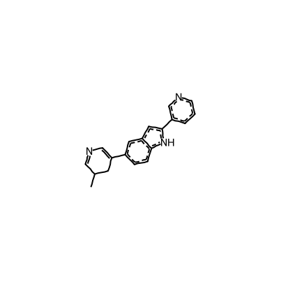 CC1C=NC=C(c2ccc3[nH]c(-c4cccnc4)cc3c2)C1